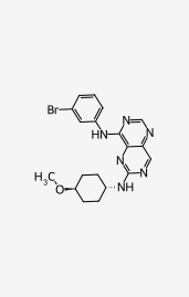 CO[C@H]1CC[C@H](Nc2ncc3ncnc(Nc4cccc(Br)c4)c3n2)CC1